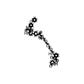 NC(=O)c1c(-c2ccc(Oc3ccccc3)cc2)nn2c1NCC[C@H]2C1CCN(C(=O)c2cn(CCOCCOCCOCCNc3cccc4c3C(=O)N(C3CCC(=O)NC3=O)C4=O)nn2)CC1